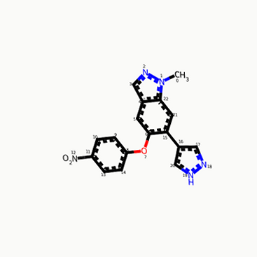 Cn1ncc2cc(Oc3ccc([N+](=O)[O-])cc3)c(-c3cn[nH]c3)cc21